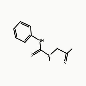 CC(=S)CN(C)C(=S)Nc1ccccc1